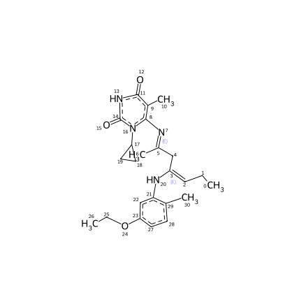 CC/C=C(\C/C(C)=N/c1c(C)c(=O)[nH]c(=O)n1C1CC1)Nc1cc(OCC)ccc1C